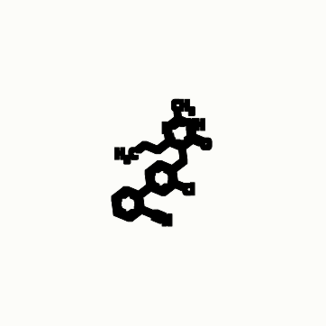 CCCc1nc(C)[nH]c(=O)c1Cc1ccc(-c2ccccc2C#N)cc1Cl